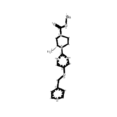 C[C@@H]1CN(C(=O)OC(C)(C)C)CCN1c1ncc(OCc2ccncc2)cn1